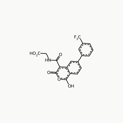 O=C(O)CNC(=O)c1c(=O)oc(O)c2ccc(-c3cccc(C(F)(F)F)c3)cc12